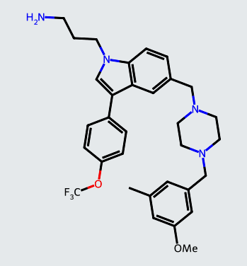 COc1cc(C)cc(CN2CCN(Cc3ccc4c(c3)c(-c3ccc(OC(F)(F)F)cc3)cn4CCCN)CC2)c1